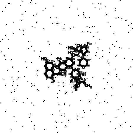 C#Cc1c(F)ccc2cc(O)cc(-c3ncc4c(N5C[C@H]6CC(C#N)[C@@H](C5)N6C(=O)C=C)nc(OC[C@]5(C(C)(C)O)C[C@@H](F)CN5C5CCOCC5)nc4c3F)c12